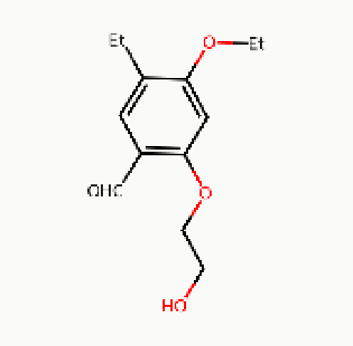 CCOc1cc(OCCO)c(C=O)cc1CC